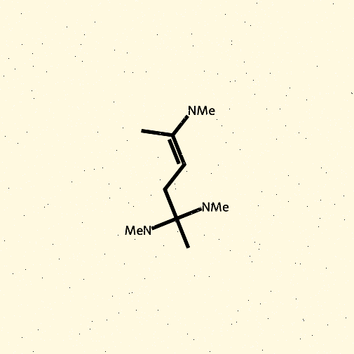 CNC(C)=CCC(C)(NC)NC